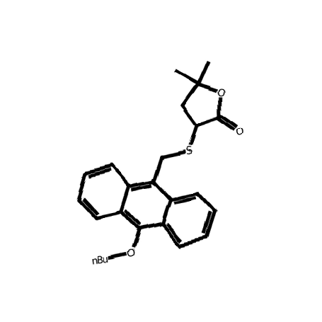 CCCCOc1c2ccccc2c(CSC2CC(C)(C)OC2=O)c2ccccc12